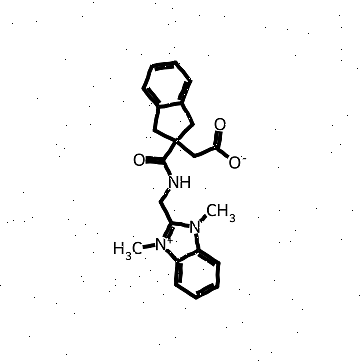 Cn1c(CNC(=O)C2(CC(=O)[O-])Cc3ccccc3C2)[n+](C)c2ccccc21